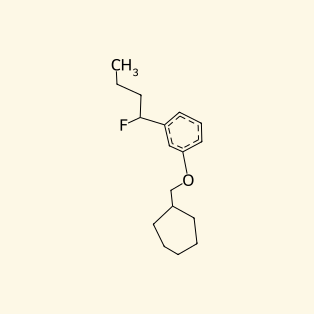 CCCC(F)c1cccc(OCC2CCCCC2)c1